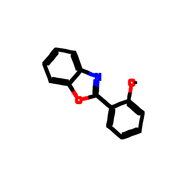 [O]c1ccccc1-c1nc2ccccc2o1